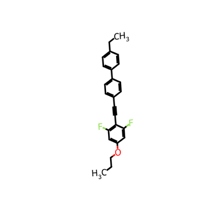 CCCOc1cc(F)c(C#Cc2ccc(-c3ccc(CC)cc3)cc2)c(F)c1